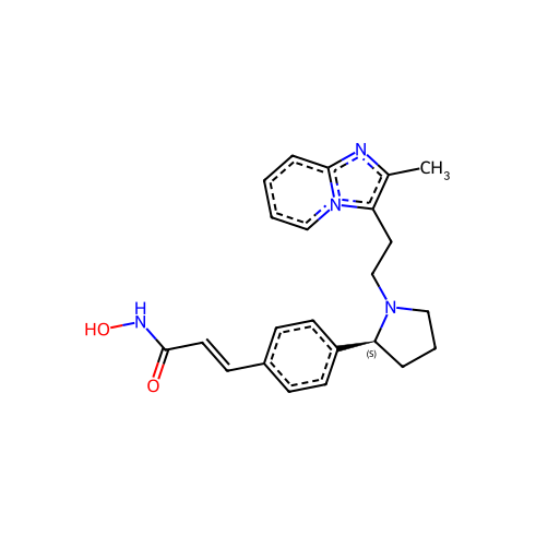 Cc1nc2ccccn2c1CCN1CCC[C@H]1c1ccc(C=CC(=O)NO)cc1